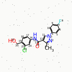 Cc1nn(-c2ccc(F)cc2)cc1C(=O)Nc1ccc(CO)c(Cl)c1